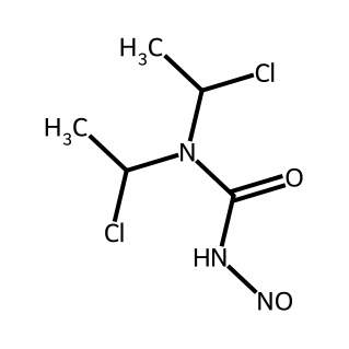 CC(Cl)N(C(=O)NN=O)C(C)Cl